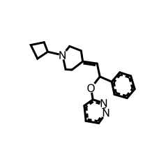 C(=C1CCN(C2CCC2)CC1)C(Oc1cccnn1)c1ccccc1